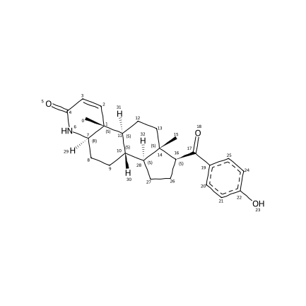 C[C@]12C=CC(=O)N[C@@H]1CC[C@@H]1[C@@H]2CC[C@]2(C)[C@@H](C(=O)c3ccc(O)cc3)CC[C@@H]12